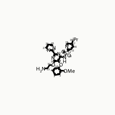 COc1ccccc1Oc1c(NS(=O)(=O)c2ccc(C(C)C)cn2)nc(-c2ncccn2)nc1OCCN